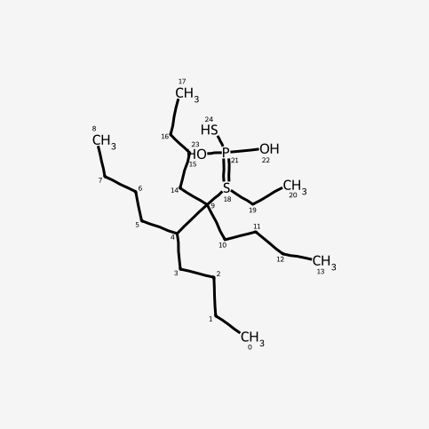 CCCCC(CCCC)C(CCCC)(CCCC)S(CC)=P(O)(O)S